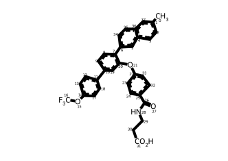 Cc1ccc2cc(-c3ccc(-c4ccc(OC(F)(F)F)cc4)cc3Oc3ccc(C(=O)NCCC(=O)O)cc3)ccc2c1